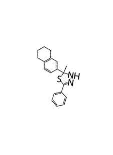 CC1(c2ccc3c(c2)CCCC3)NN=C(c2ccccc2)S1